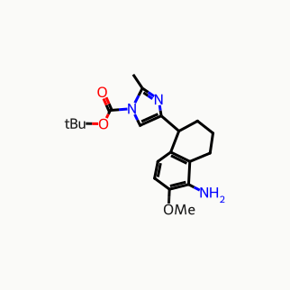 COc1ccc2c(c1N)CCCC2c1cn(C(=O)OC(C)(C)C)c(C)n1